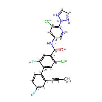 CC#Cc1cc(F)ccc1-c1cc(Cl)c(C(=O)Nc2cnc(-n3nccn3)c(Cl)c2)cc1F